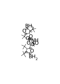 B[C@@H]1O[C@H](C(C)(C)C)C(O[P@](=O)(NS(C)(=O)=O)OC[C@H]2O[C@@H](B)[C@@H](C(C)(C)C)C2C(C)(C)C)[C@@H]1C(C)(C)C